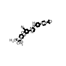 CO[C@@H](C)C(=O)N1CC[C@H](Oc2ccc(-c3nccc(Nc4ccc(N5CCN(C6COC6)CC5)cc4)n3)cc2C#N)[C@H](F)C1